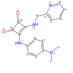 CN(C)c1ccc(Nc2c(NCc3ccccn3)c(=O)c2=O)cc1